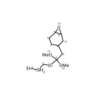 CC[SiH2]COC(CC1CCC2OC2C1)(OC)OC